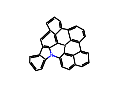 c1cc2c3c(c1)-c1cccc4cc5c6ccccc6n6c5c(c14)B3c1c-6ccc3cccc-2c13